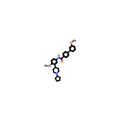 COc1ccc(NC(=O)c2ccc(-c3cccc(OC(C)C)c3)cc2)cc1C1CCN(C2CCCC2)CC1